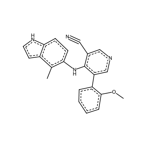 COc1ccccc1-c1cncc(C#N)c1Nc1ccc2[nH]ccc2c1C